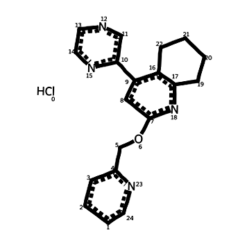 Cl.c1ccc(COc2cc(-c3cnccn3)c3c(n2)CCCC3)nc1